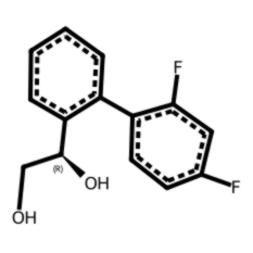 OC[C@H](O)c1ccccc1-c1ccc(F)cc1F